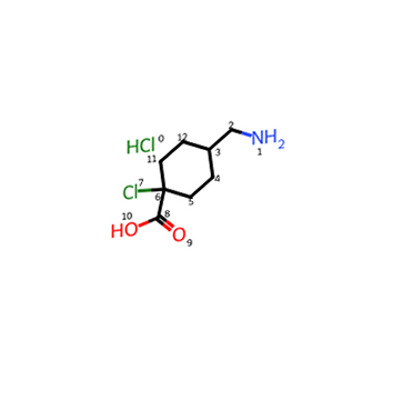 Cl.NCC1CCC(Cl)(C(=O)O)CC1